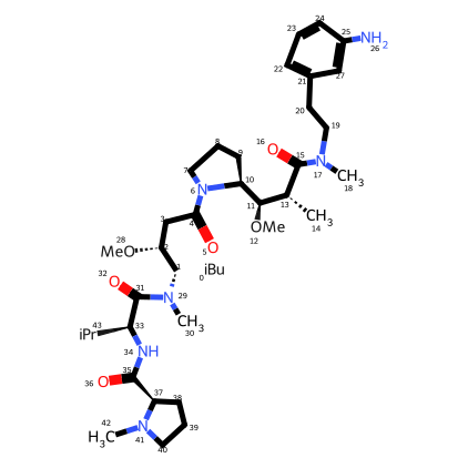 CC[C@H](C)[C@@H]([C@@H](CC(=O)N1CCC[C@H]1[C@H](OC)[C@@H](C)C(=O)N(C)CCc1cccc(N)c1)OC)N(C)C(=O)[C@@H](NC(=O)[C@H]1CCCN1C)C(C)C